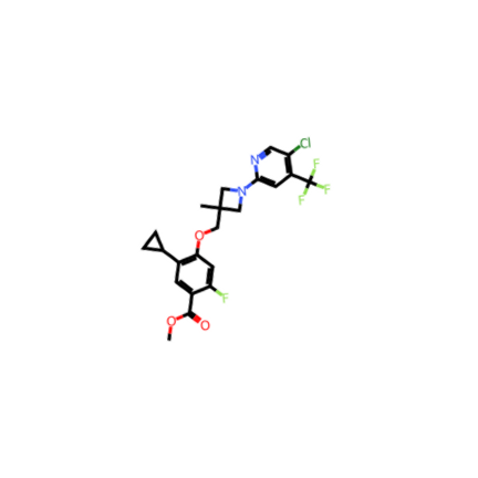 COC(=O)c1cc(C2CC2)c(OCC2(C)CN(c3cc(C(F)(F)F)c(Cl)cn3)C2)cc1F